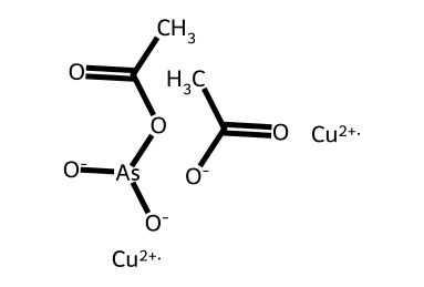 CC(=O)O[As]([O-])[O-].CC(=O)[O-].[Cu+2].[Cu+2]